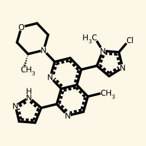 Cc1cnc(-c2ccn[nH]2)c2nc(N3CCOC[C@H]3C)cc(-c3cnc(Cl)n3C)c12